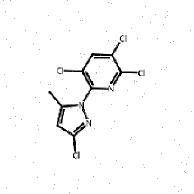 Cc1cc(Cl)nn1-c1nc(Cl)c(Cl)cc1Cl